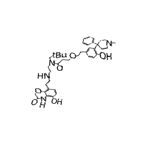 CN1CCC(c2ccccc2)(c2cc(CCOCCC(=O)N(CCNCCc3ccc(O)c4c3OCC(=O)N4)CC(C)(C)C)ccc2O)CC1